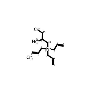 C=CC[N+](CC=C)(CC=C)CC(O)CCl.[Cl-]